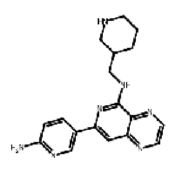 Nc1ccc(-c2cc3nccnc3c(NCC3CCCNC3)n2)cn1